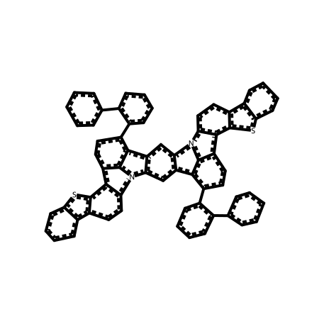 c1ccc(-c2ccccc2-c2ccc3c4c5sc6ccccc6c5ccc4n4c5cc6c7c(-c8ccccc8-c8ccccc8)ccc8c9c%10sc%11ccccc%11c%10ccc9n(c6cc5c2c34)c87)cc1